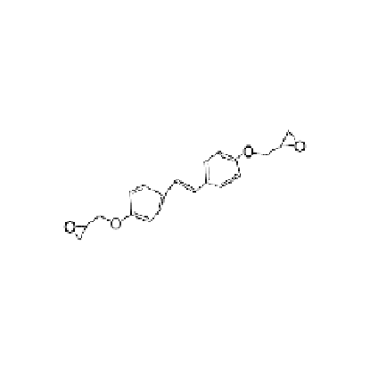 C(=Cc1ccc(OCC2CO2)cc1)c1ccc(OCC2CO2)cc1